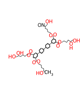 CC(O)CCCCOC(=O)c1cc(C(=O)OCCCCC(O)CO)cc(-c2ccc(-c3ccc(-c4cc(C(=O)OCCCCC(O)CO)cc(C(=O)OCCCCC(CO)N=O)c4)cc3)cc2)c1